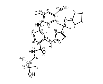 CC(C)(OC1CCCC1)c1cnc(Nc2cc(Nc3ncc(C#N)cc3Cl)ncc2C(=O)NC[C@@H](F)C(C)(C)O)s1